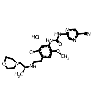 COc1cc(CCN[C@@H](C)CN2CCOCC2)c(Cl)cc1NC(=O)Nc1cnc(C#N)cn1.Cl